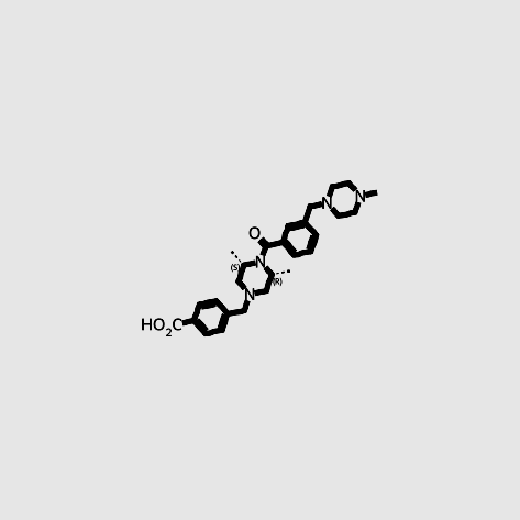 C[C@@H]1CN(Cc2ccc(C(=O)O)cc2)C[C@H](C)N1C(=O)c1cccc(CN2CCN(C)CC2)c1